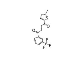 Cc1ccc(C(=O)CCC(=O)c2cccc(C(F)(F)F)c2)s1